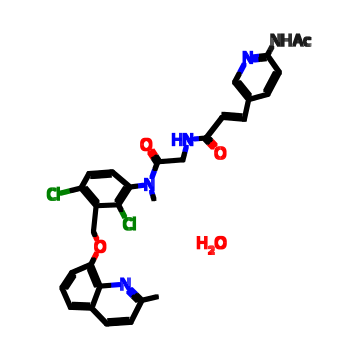 CC(=O)Nc1ccc(C=CC(=O)NCC(=O)N(C)c2ccc(Cl)c(COc3cccc4ccc(C)nc34)c2Cl)cn1.O